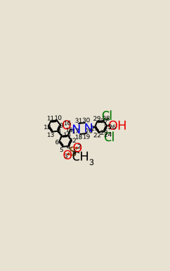 CS(=O)(=O)c1ccc(-c2ccccc2)c(C(=O)N2CCN(c3cc(Cl)c(O)c(Cl)c3)CC2)c1